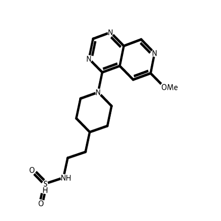 COc1cc2c(N3CCC(CCN[SH](=O)=O)CC3)ncnc2cn1